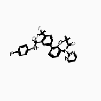 CC1(C)Oc2c(-c3ccc(C(F)(F)F)c(C(=O)Nc4ccc(F)cc4)c3)cccc2N(c2ncccn2)C1=O